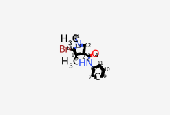 Cc1c(C(=O)Nc2ccccc2)cn(C)c1Br